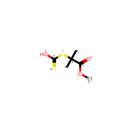 CCOC(=O)C(C)(C)SC(O)=S